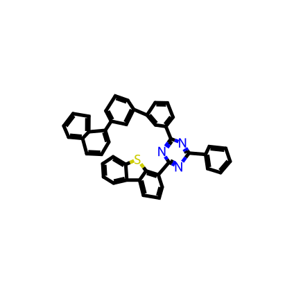 c1ccc(-c2nc(-c3cccc(-c4cccc(-c5cccc6ccccc56)c4)c3)nc(-c3cccc4c3sc3ccccc34)n2)cc1